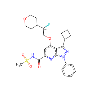 CS(=O)(=O)NC(=O)c1cc(OC[C@H](F)C2CCOCC2)c2c(C3CCC3)nn(-c3ccccc3)c2n1